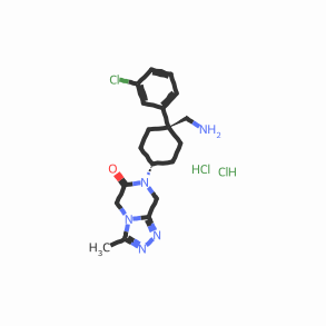 Cc1nnc2n1CC(=O)N([C@H]1CC[C@@](CN)(c3cccc(Cl)c3)CC1)C2.Cl.Cl